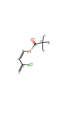 C=C(Cl)/C=C\SC(=O)C(C)(C)C